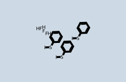 F.F.F.ISc1ccccc1.ISc1ccccc1.ISc1ccccc1